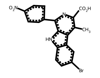 Cc1c(C(=O)O)nc(-c2ccc([N+](=O)[O-])cc2)c2[nH]c3ccc(Br)cc3c12